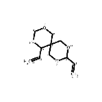 C=CC1OCC2(COCOC2C=C)CO1